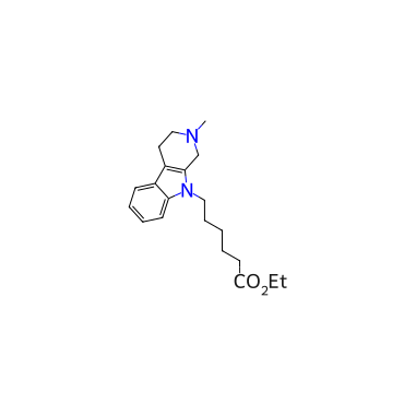 CCOC(=O)CCCCCn1c2c(c3ccccc31)CCN(C)C2